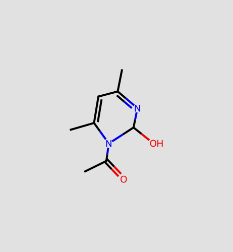 CC(=O)N1C(C)=CC(C)=NC1O